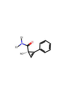 CCN(CC)C(=O)[C@]1(C#N)C=C1c1ccccc1